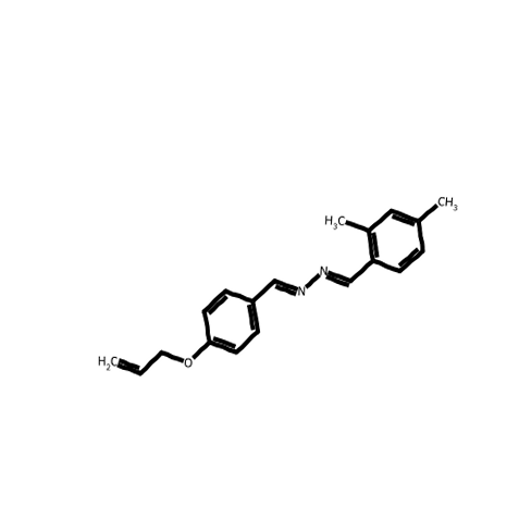 C=CCOc1ccc(/C=N/N=C/c2ccc(C)cc2C)cc1